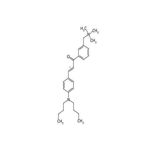 CCCCN(CCCC)c1ccc(/C=C/C(=O)c2cccc(C[N+](C)(C)C)c2)cc1